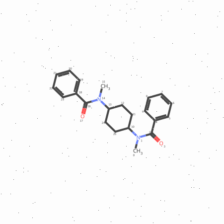 CN(C(=O)c1ccccc1)C1CCC(N(C)C(=O)c2ccccc2)CC1